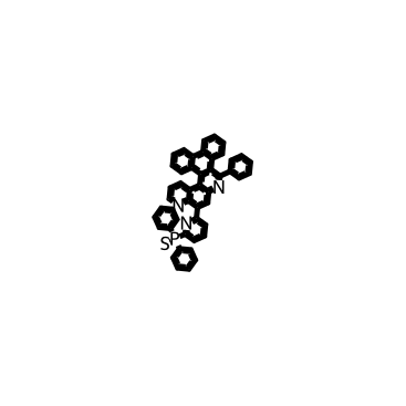 S=P(c1ccccc1)(c1ccccc1)c1cccc(-c2cc3nc(-c4ccccc4)c4c5ccccc5c5ccccc5c4c3c3cccnc23)n1